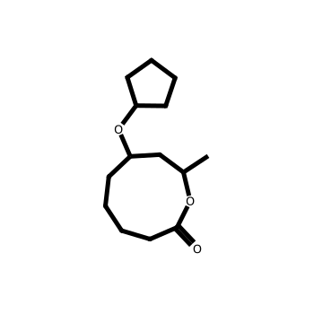 CC1CC(OC2CCCC2)CCCCC(=O)O1